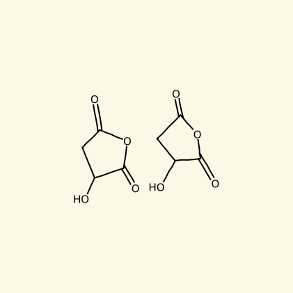 O=C1CC(O)C(=O)O1.O=C1CC(O)C(=O)O1